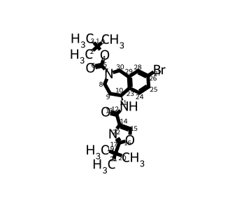 CC(C)(C)OC(=O)N1CC[C@@H](NC(=O)c2coc(C(C)(C)C)n2)c2ccc(Br)cc2C1